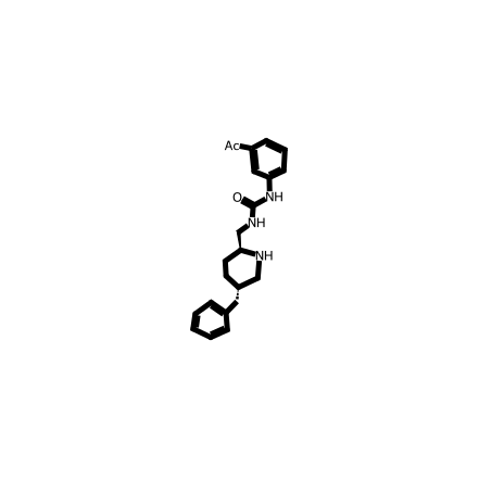 CC(=O)c1cccc(NC(=O)NC[C@@H]2CC[C@@H](Cc3ccccc3)CN2)c1